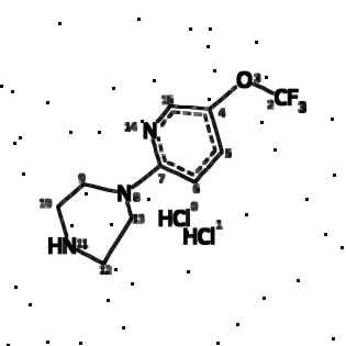 Cl.Cl.FC(F)(F)Oc1ccc(N2CCNCC2)nc1